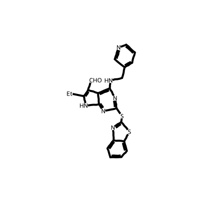 CCc1[nH]c2nc(Sc3nc4ccccc4s3)nc(NCc3cccnc3)c2c1C=O